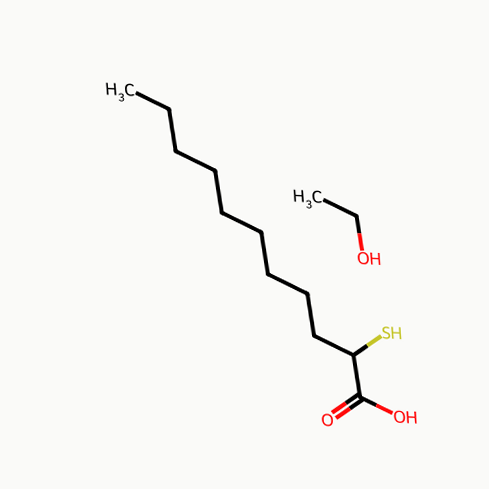 CCCCCCCCCC(S)C(=O)O.CCO